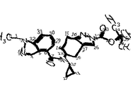 CCn1ncc2c(C(=O)N(C3CC3)C3CCc4nn(C(=O)OC(C)(C)C)cc4C3)cccc21